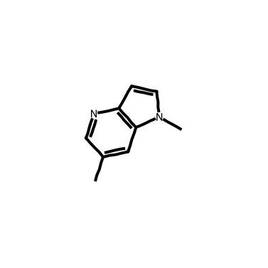 Cc1cnc2ccn(C)c2c1